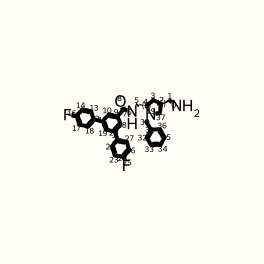 NC[C@@H]1C[C@@H](CNC(=O)c2cc(-c3ccc(F)cc3)cc(-c3ccc(F)cc3)c2)N(Cc2ccccc2)C1